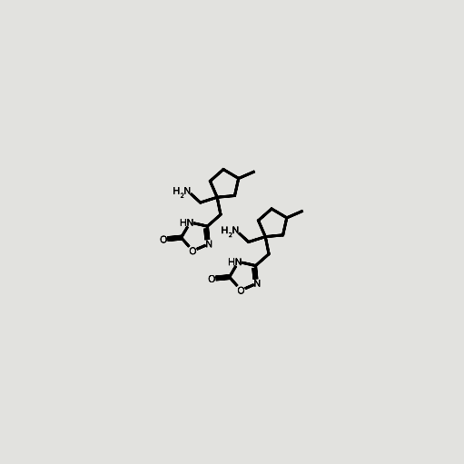 CC1CCC(CN)(Cc2noc(=O)[nH]2)C1.CC1CCC(CN)(Cc2noc(=O)[nH]2)C1